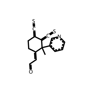 CC1(c2cccnc2)C(=C=S)C(=C=S)CCC1=CC=O